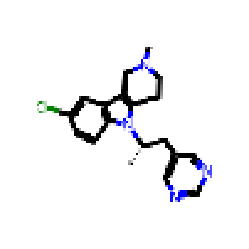 C[C@@H](Cc1cncnc1)n1c2c(c3cc(Cl)ccc31)CN(C)CC2